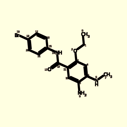 CCOc1cc(NC)c(N)cc1C(=O)Nc1ccc(Br)cc1